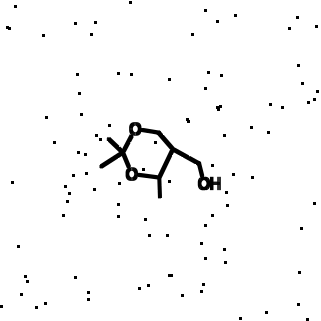 CC1OC(C)(C)OCC1CO